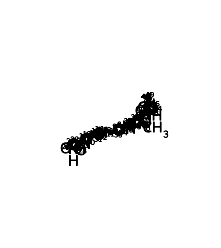 COc1cc2nn(C3CCC(CCN4CCN(c5ccc(C6CCC(=O)NC6=O)nc5)CC4)CC3)cc2cc1C(=O)Nc1cccn(C2CC2)c1=O